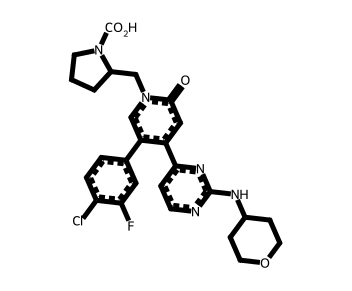 O=C(O)N1CCCC1Cn1cc(-c2ccc(Cl)c(F)c2)c(-c2ccnc(NC3CCOCC3)n2)cc1=O